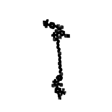 Cc1ncsc1-c1ccc(CNC(=O)[C@@H]2C[C@@H](O)CN2C(=O)C(NC(=O)CCCCCCOCCCCOCCCCOc2ccc(N3C(=O)N(c4ccc(C#N)c(C(F)(F)F)c4)C(=O)C3(C)C)cc2)C(C)(C)C)cc1